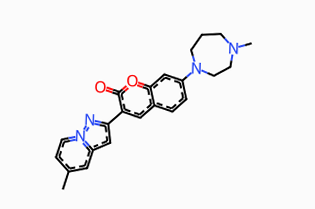 Cc1ccn2nc(-c3cc4ccc(N5CCCN(C)CC5)cc4oc3=O)cc2c1